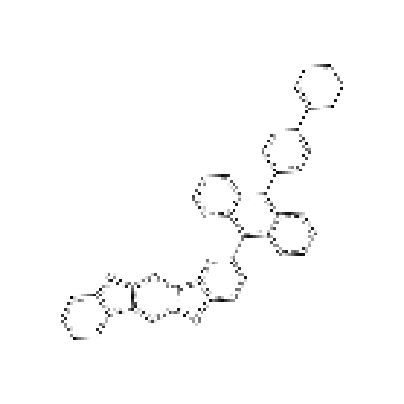 C1=CCCC(c2ccc(-c3c4ccccc4c(-c4ccc5oc6cc7c(cc6c5c4)oc4ccccc47)c4ccccc34)cc2)=C1